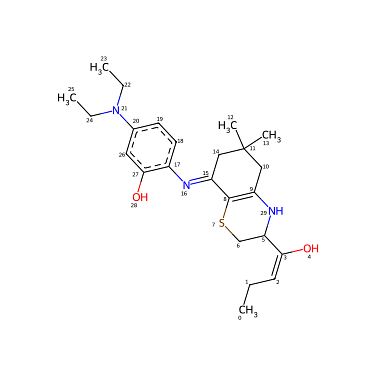 CC/C=C(/O)C1CSC2=C(CC(C)(C)C/C2=N\c2ccc(N(CC)CC)cc2O)N1